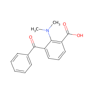 CN(C)c1c(C(=O)O)cccc1C(=O)c1ccccc1